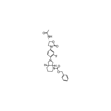 CC(=O)NC[C@H]1CN(c2ccc(N3C[C@H]4CCCN(C(=O)OCc5ccccc5)[C@H]4C3)c(F)c2)C(=O)O1